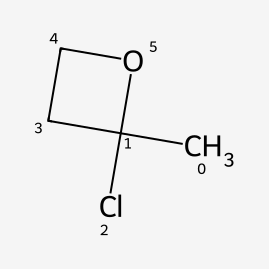 CC1(Cl)CCO1